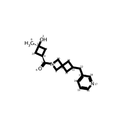 C[C@]1(O)C[C@@H](C(=O)N2CC3(CC(Cc4cccnc4)C3)C2)C1